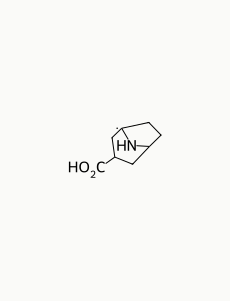 O=C(O)C1C[C]2CCC(C1)N2